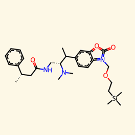 CC(c1ccc2c(c1)oc(=O)n2COCC[Si](C)(C)C)[C@@H](CNC(=O)C[C@H](C)c1ccccc1)N(C)C